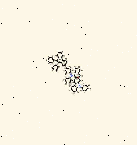 c1ccc(-c2c(-c3ccccc3)c3cc(-c4ccc(N(c5ccccc5-c5cccc6c5c5ccccc5n6-c5ccccc5)c5cccc6ccccc56)cc4)ccc3c3ccccc23)cc1